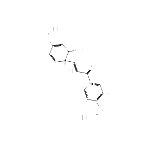 COC1=CC(O)C(O)(C=CC(=O)c2ccc(OC)cc2)C=C1